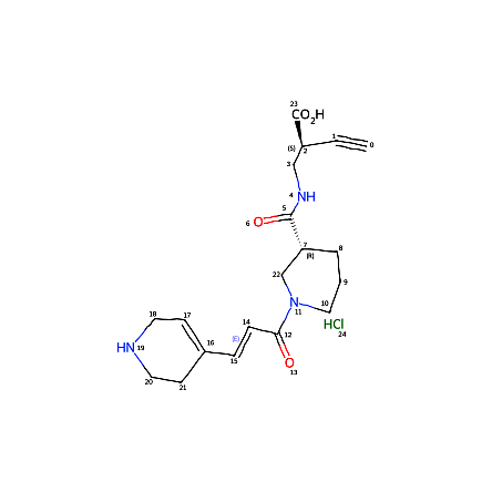 C#C[C@@H](CNC(=O)[C@@H]1CCCN(C(=O)/C=C/C2=CCNCC2)C1)C(=O)O.Cl